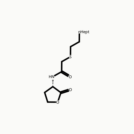 CCCCCCCCCSCC(=O)N[C@H]1CCOC1=O